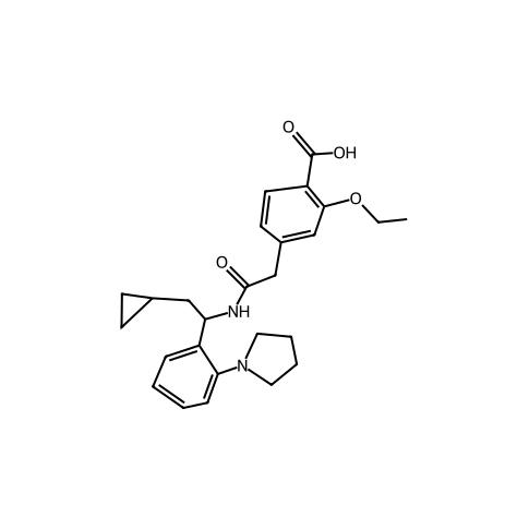 CCOc1cc(CC(=O)NC(CC2CC2)c2ccccc2N2CCCC2)ccc1C(=O)O